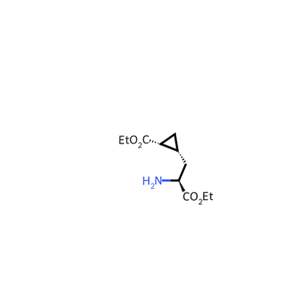 CCOC(=O)[C@@H](N)C[C@H]1C[C@H]1C(=O)OCC